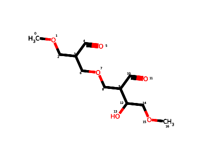 COCC(C=O)COCC(C=O)C(O)COC